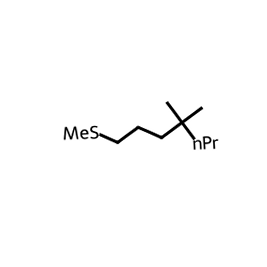 CCCC(C)(C)CCCSC